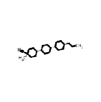 CCC[C@H]1CC[C@H](C2CCC([C@H]3CC[C@](C)(C#N)CC3)CC2)CC1